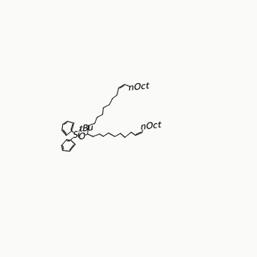 CCCCCCCC/C=C\CCCCCCCCC(CCCCCCCC/C=C\CCCCCCCC)O[Si](c1ccccc1)(c1ccccc1)C(C)(C)C